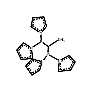 CC(P(n1cccc1)n1cccc1)P(n1cccc1)n1cccc1